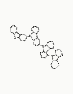 C1=Cc2c(c3ccccc3n2-c2cccc3c2c2ccccc2n3-c2ccc3c(c2)c2ccccc2n3-c2ccc3oc4ccccc4c3c2)CC1